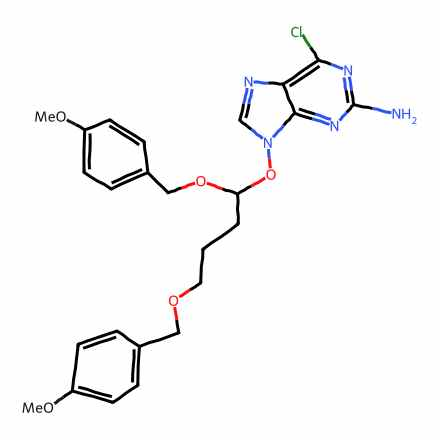 COc1ccc(COCCCC(OCc2ccc(OC)cc2)On2cnc3c(Cl)nc(N)nc32)cc1